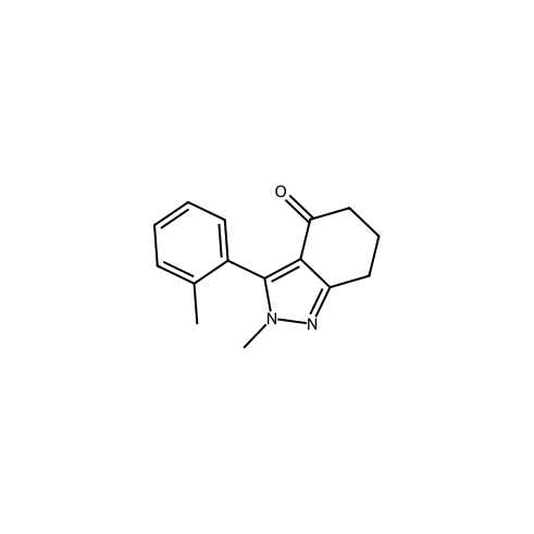 Cc1ccccc1-c1c2c(nn1C)CCCC2=O